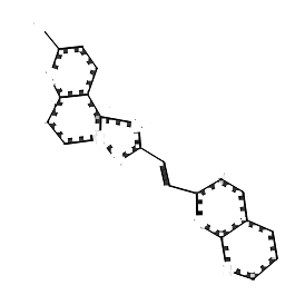 Cc1ccc2c(ccn3nc(/C=C/c4ccc5cccnc5n4)nc23)n1